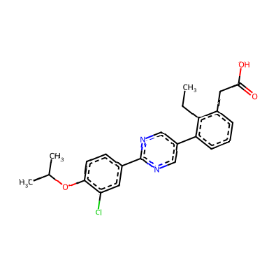 CCc1c(CC(=O)O)cccc1-c1cnc(-c2ccc(OC(C)C)c(Cl)c2)nc1